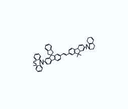 CC1(C)c2cc(/C=C/c3ccc4c(c3)C3(Cc5ccccc5C3)c3cc(N5c6ccccc6Sc6ccccc65)ccc3-4)ccc2C2C=CC(N3CCCC4=C3CCC=C4)=CC21